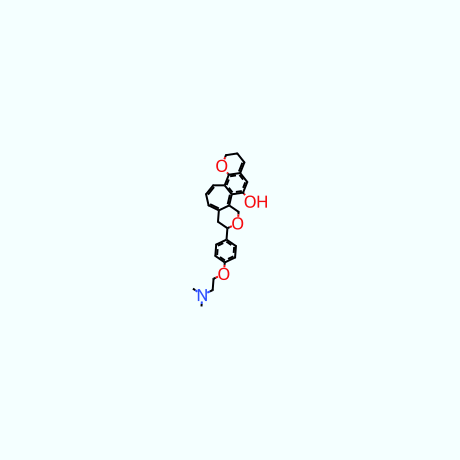 CN(C)CCOc1ccc(C2CC3=CC=Cc4c5c(cc(O)c4=C3CO2)=CCCO5)cc1